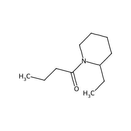 CCCC(=O)N1CCCCC1CC